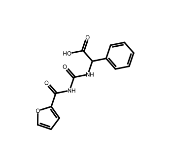 O=C(NC(=O)c1ccco1)NC(C(=O)O)c1ccccc1